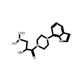 CCCCC(CN(O)C=O)C(=O)N1CCN(c2cccc3cc[nH]c23)CC1